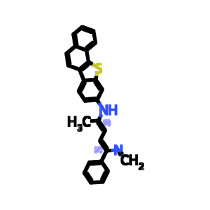 C=N/C(=C\C=C(/C)Nc1ccc2c(c1)sc1c3ccccc3ccc21)c1ccccc1